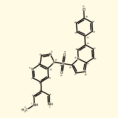 CN/C=C(\C=N)c1cnc2cnn(S(=O)(=O)c3cnc4ccc(-c5ccc(Cl)cc5)cn34)c2c1